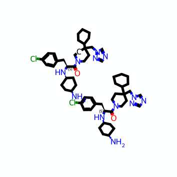 N[C@H]1CC[C@@H](N[C@@H](Cc2ccc(Cl)cc2)C(=O)N2CCC(Cn3cncn3)(C3CCCCC3)CC2)CC1.N[C@H]1CC[C@H](N[C@@H](Cc2ccc(Cl)cc2)C(=O)N2CCC(Cn3cncn3)(C3CCCCC3)CC2)CC1